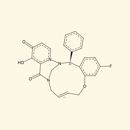 O=C1c2c(O)c(=O)ccn2N2CN1C/C=C/COc1cc(F)ccc1[C@@H]2c1ccccc1